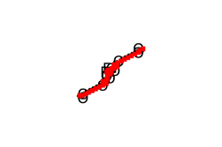 C=CC(=O)OCCCCCCCCCCOc1ccc(C(=O)Oc2c(F)c(F)c(OC(=O)c3ccc(OCCCCCCCCCCOC(=O)C=C)cc3)c(F)c2F)cc1